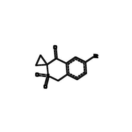 CCc1ccc2c(c1)C(=O)C1(CC1)S(=O)(=O)C2